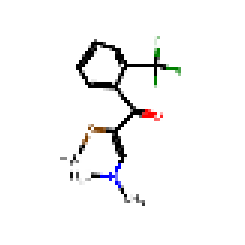 CSC(=CN(C)C)C(=O)c1ccccc1C(F)(F)F